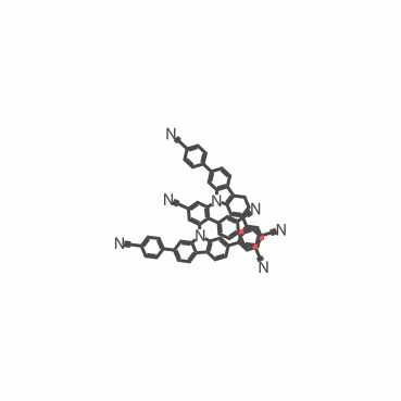 N#Cc1ccc(C2=Cc3c(c4ccc(-c5ccc(C#N)cc5)cc4n3-c3cc(C#N)cc(-n4c5cc(-c6ccc(C#N)cc6)ccc5c5ccc(-c6ccc(C#N)cc6)cc54)c3-c3cccc(C#N)c3)CC2)cc1